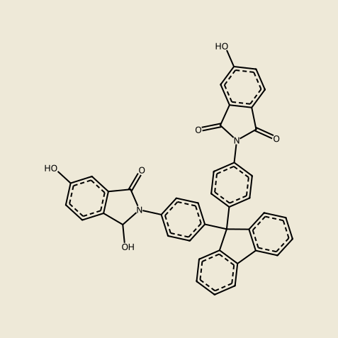 O=C1c2ccc(O)cc2C(=O)N1c1ccc(C2(c3ccc(N4C(=O)c5cc(O)ccc5C4O)cc3)c3ccccc3-c3ccccc32)cc1